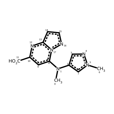 CN(c1cnn(C)c1)c1cc(C(=O)O)nc2ccnn12